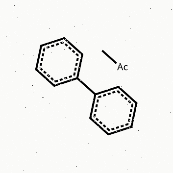 CC(C)=O.c1ccc(-c2ccccc2)cc1